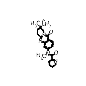 CN(C(=O)c1ccccn1)c1ccc2c(=O)n3c(nc2c1)CCC(C)(C)C3